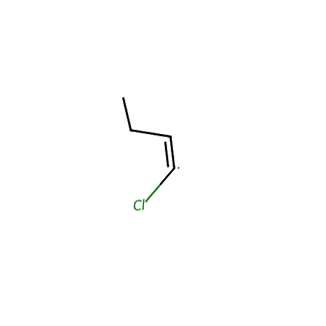 CC/C=[C]\Cl